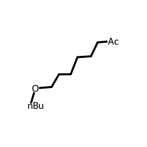 CCCCOCCCCCCC(C)=O